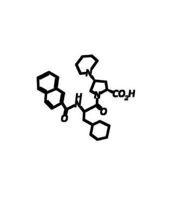 O=C(NC(CC1CCCCC1)C(=O)N1C[C@@H](N2CCCCC2)C[C@H]1C(=O)O)c1ccc2ccccc2c1